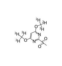 [2H]C([2H])([2H])Oc1cc(OC([2H])([2H])[2H])nc(S(C)(=O)=O)n1